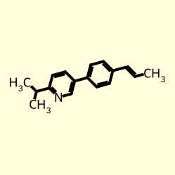 C/C=C/c1ccc(-c2ccc(C(C)C)nc2)cc1